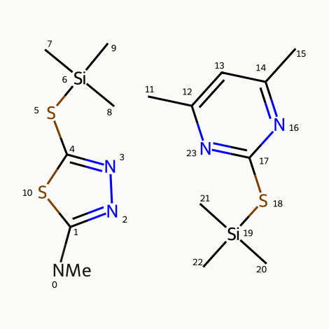 CNc1nnc(S[Si](C)(C)C)s1.Cc1cc(C)nc(S[Si](C)(C)C)n1